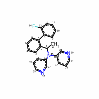 CC(c1ccccc1-c1ccccc1F)N(c1cccnc1)c1cccnc1